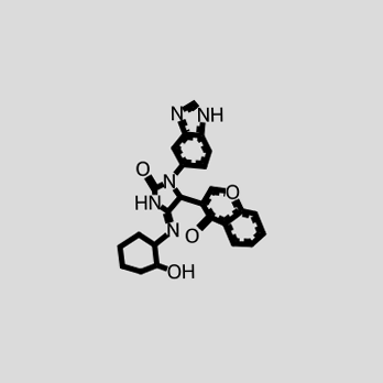 O=C1NC(=NC2CCCCC2O)C(c2coc3ccccc3c2=O)N1c1ccc2[nH]cnc2c1